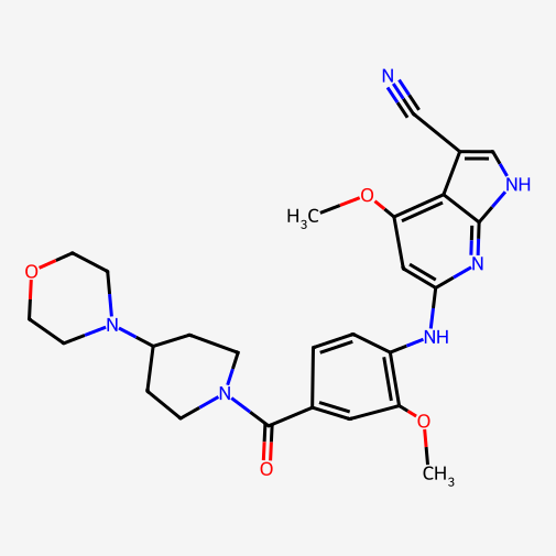 COc1cc(C(=O)N2CCC(N3CCOCC3)CC2)ccc1Nc1cc(OC)c2c(C#N)c[nH]c2n1